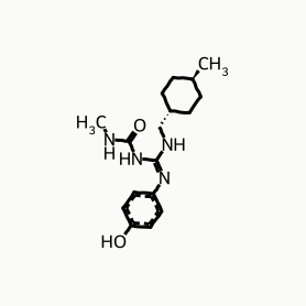 CNC(=O)N/C(=N\c1ccc(O)cc1)NC[C@H]1CC[C@H](C)CC1